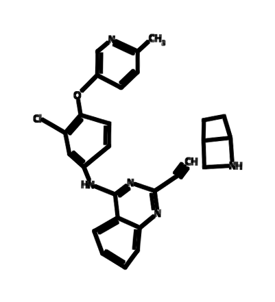 C#Cc1nc(Nc2ccc(Oc3ccc(C)nc3)c(Cl)c2)c2ccccc2n1.C1CC2NCC12